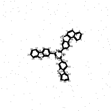 c1ccc2c(c1)ccc1sc3cc(-c4nc(-c5ccc6c(c5)sc5ccccc56)nc(-c5ccc6c(c5)sc5ccccc56)n4)ccc3c12